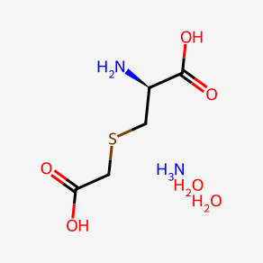 N.N[C@H](CSCC(=O)O)C(=O)O.O.O